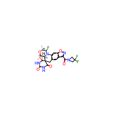 C[C@@H]1O[C@H](C)C(F)N2c3cc4onc(C(=O)N5CC(F)(F)C5)c4cc3CC3(C(=O)NC(=O)NC3=O)[C@@H]12